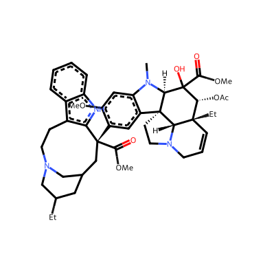 CCC1CC2CN(CCc3c([nH]c4ccccc34)[C@@](C(=O)OC)(c3cc4c(cc3OC)N(C)[C@H]3C(O)(C(=O)OC)[C@H](OC(C)=O)[C@]5(CC)C=CCN6CC[C@]43[C@@H]65)C2)C1